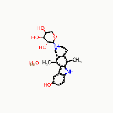 Cc1c2cc[n+]([C@@H]3OC[C@H](O)[C@H](O)[C@H]3O)cc2c(C)c2c1[nH]c1ccc(O)cc12.O.[Br-]